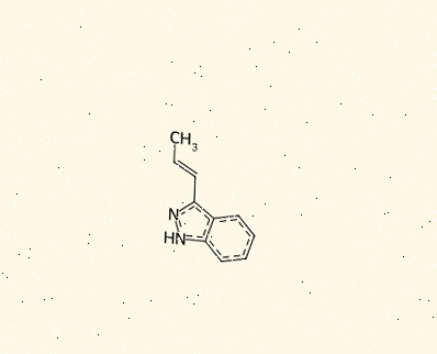 CC=Cc1n[nH]c2ccccc12